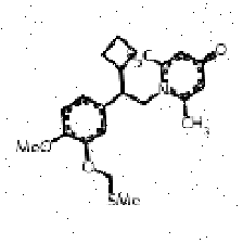 COc1ccc(C(Cn2c(C)cc(=O)cc2C)C2CCC2)cc1OCSC